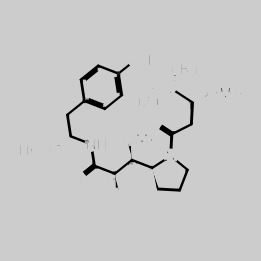 CCCC[C@@H]([C@@H](C)CC)[C@@H](CC(=O)N1CCC[C@H]1[C@H](OC)[C@@H](C)C(=O)N[C@@H](Cc1ccc(C)cc1)C(=O)O)OC